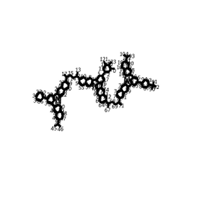 Cc1cc(-c2cc3c4cc5cc(C(C)CCC(C)c6ccc7cc8c(cc7c6)c6cc(-c7ccccc7)cc7c9cc%10cc(C(C)C)ccc%10cc9n8c76)ccc5cc4n4c5cc6ccc(C(C)CCC(C)c7ccc8cc9c(cc8c7)c7cc(-c8ccc(C(C)(C)C)cc8)cc8c%10cc%11cc(C(C)C)ccc%11cc%10n9c87)cc6cc5c(c2)c34)cc(C)c1C